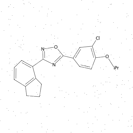 CC(C)Oc1ccc(-c2nc(-c3cccc4c3CCC4)no2)cc1Cl